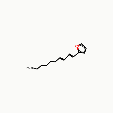 CCCCCCCCCCCCCC=CC=Cc1ccco1